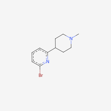 CN1CCC(c2cccc(Br)n2)CC1